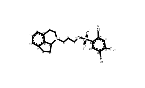 O=S(=O)(NCCCN1CCc2cccc3c2C1CC3)c1cc(F)c(F)cc1Cl